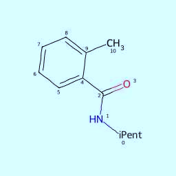 CCCC(C)NC(=O)c1ccccc1C